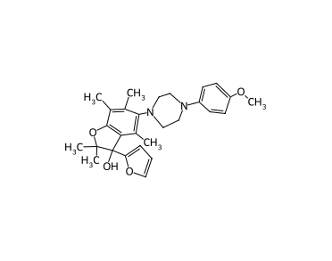 COc1ccc(N2CCN(c3c(C)c(C)c4c(c3C)C(O)(c3ccco3)C(C)(C)O4)CC2)cc1